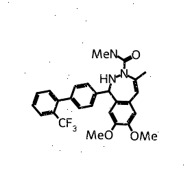 CNC(=O)N1NC(c2ccc(-c3ccccc3C(F)(F)F)cc2)c2cc(OC)c(OC)cc2C=C1C